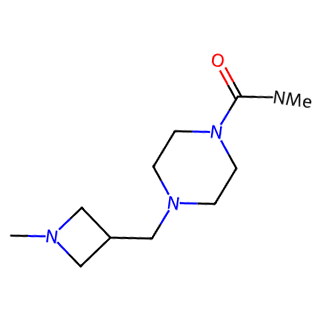 CNC(=O)N1CCN(CC2CN(C)C2)CC1